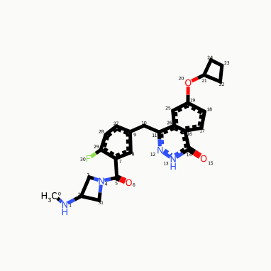 CNC1CN(C(=O)c2cc(Cc3n[nH]c(=O)c4ccc(OC5CCC5)cc34)ccc2F)C1